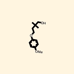 COc1ccc(OCCC(C)(C)CO)cc1